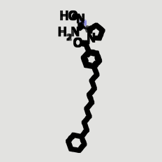 N/C(=N\O)[C@@H]1CCCN1C(=O)c1ccc(CCCCCCCCCC2CCCCC2)cc1